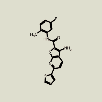 Cc1ccc(F)cc1NC(=O)c1sc2nc(-c3cccs3)ccc2c1N